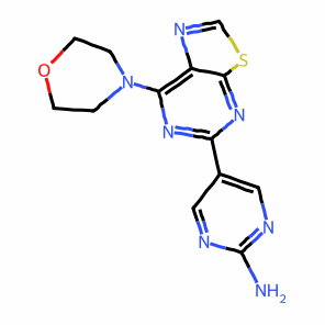 Nc1ncc(-c2nc(N3CCOCC3)c3ncsc3n2)cn1